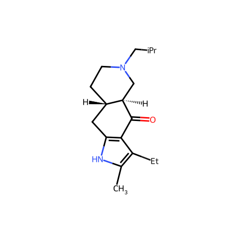 CCc1c(C)[nH]c2c1C(=O)[C@@H]1CN(CC(C)C)CC[C@H]1C2